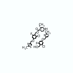 CC[C@@H]1CNCCN1C(=O)OCc1c(F)cc(OCc2csc(C)n2)cc1Cl.Cc1nc(COc2cc(F)c(CO)c(Cl)c2)cs1